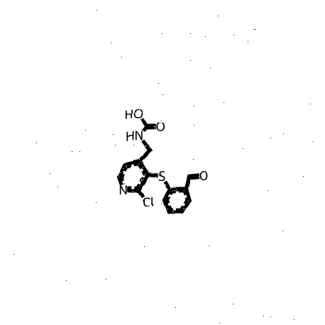 O=Cc1ccccc1Sc1c(CNC(=O)O)ccnc1Cl